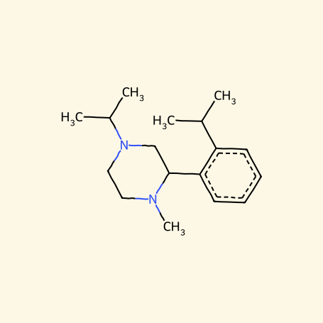 CC(C)c1ccccc1C1CN(C(C)C)CCN1C